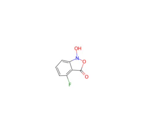 O=c1on(O)c2cccc(F)c12